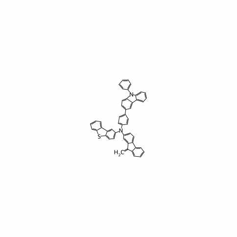 C=C1c2ccccc2-c2ccc(N(c3ccc(-c4ccc5c(c4)c4ccccc4n5-c4ccccc4)cc3)c3ccc4sc5ccccc5c4c3)cc21